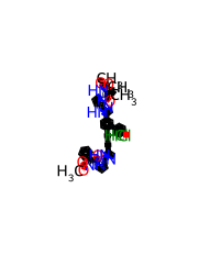 COC(=O)N[C@H](C(=O)N1CCC[C@H]1c1ncc(-c2ccc(C#CC#Cc3cnc([C@@H]4CCCN4C(=O)[C@H](NC(=O)OC)c4ccccc4)[nH]3)c(-c3ccccc3)c2)[nH]1)C(C)C.Cl.Cl